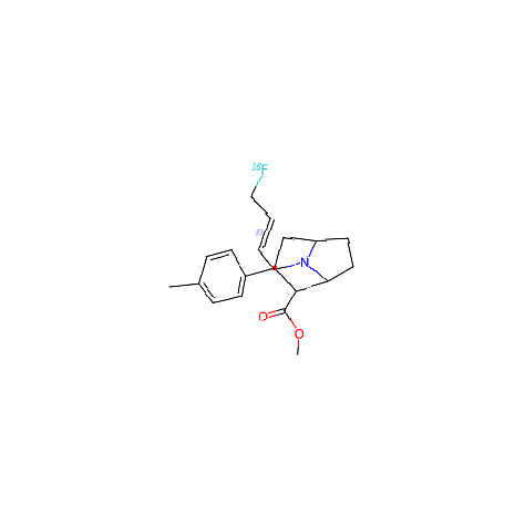 COC(=O)C1C(c2ccc(C)cc2)CC2CCC1N2C/C=C/C[18F]